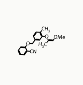 CO/C=C(/C)Oc1cc(COc2ccccc2C#N)ccc1C